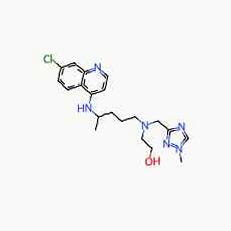 CC(CCCN(CCO)Cc1ncn(C)n1)Nc1ccnc2cc(Cl)ccc12